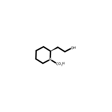 O=C(O)N1CCCC[C@H]1CCO